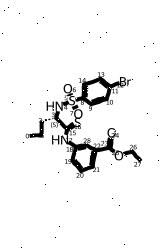 CCC[C@H](NS(=O)(=O)c1ccc(Br)cc1)C(=S)Nc1cccc(C(=O)OCC)c1